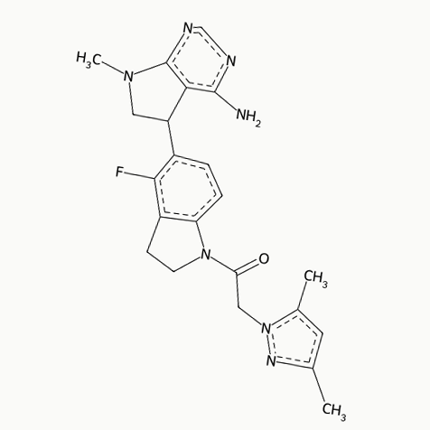 Cc1cc(C)n(CC(=O)N2CCc3c2ccc(C2CN(C)c4ncnc(N)c42)c3F)n1